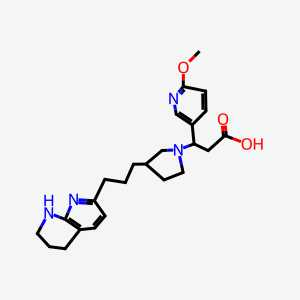 COc1ccc(C(CC(=O)O)N2CCC(CCCc3ccc4c(n3)NCCC4)C2)cn1